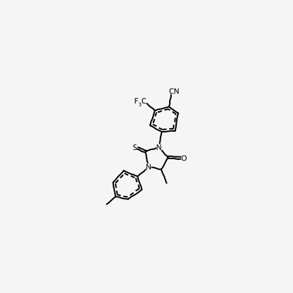 Cc1ccc(N2C(=S)N(c3ccc(C#N)c(C(F)(F)F)c3)C(=O)C2C)cc1